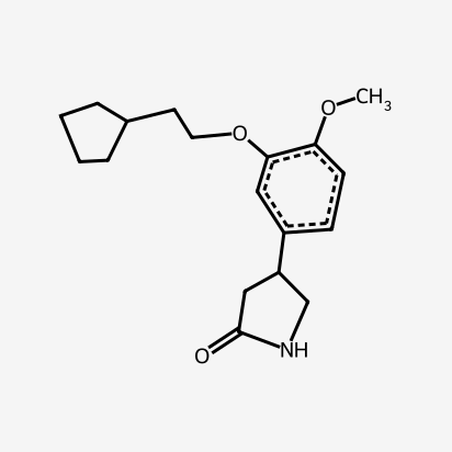 COc1ccc(C2CNC(=O)C2)cc1OCCC1CCCC1